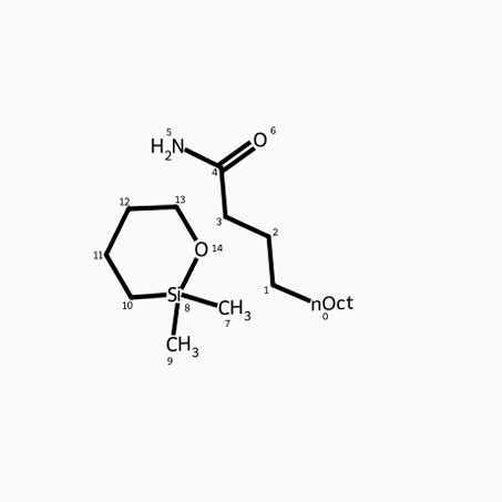 CCCCCCCCCCCC(N)=O.C[Si]1(C)CCCCO1